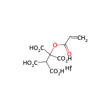 C=CC(=O)OC(C(=O)O)(C(=O)O)C(C(=O)O)C(=O)O.[Hf]